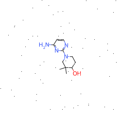 CC1(C)CN(c2nccc(N)n2)CCC1O